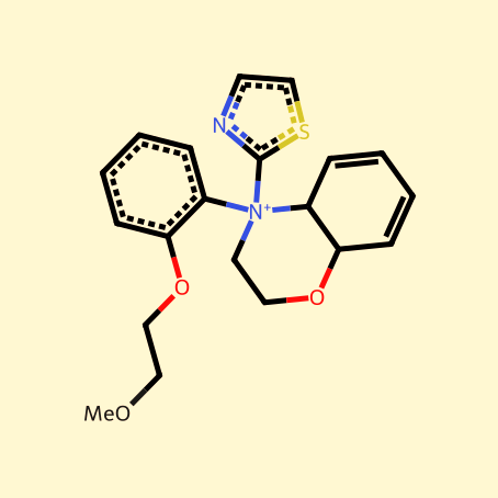 COCCOc1ccccc1[N+]1(c2nccs2)CCOC2C=CC=CC21